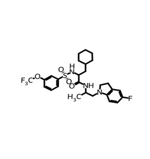 CC(CN1CCc2cc(F)ccc21)NC(=O)C(CC1CCCCC1)NS(=O)(=O)c1cccc(OC(F)(F)F)c1